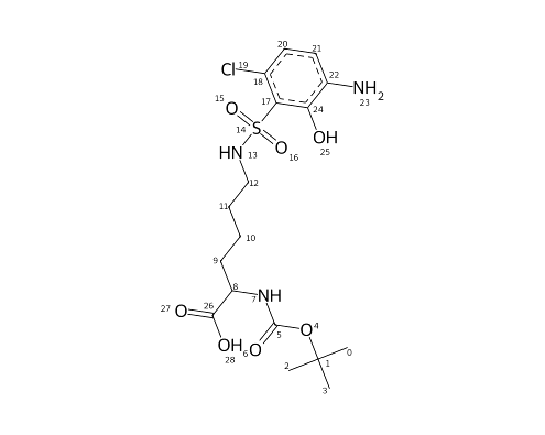 CC(C)(C)OC(=O)NC(CCCCNS(=O)(=O)c1c(Cl)ccc(N)c1O)C(=O)O